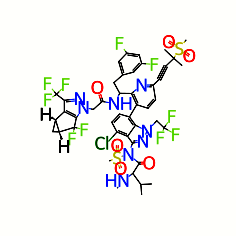 CNC(C(=O)N(c1nn(CC(F)(F)F)c2c(-c3ccc(C#CC(C)(C)S(C)(=O)=O)nc3C(Cc3cc(F)cc(F)c3)NC(=O)Cn3nc(C(F)(F)F)c4c3C(F)(F)[C@@H]3C[C@H]43)ccc(Cl)c12)S(C)(=O)=O)C(C)C